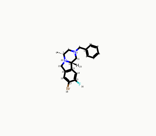 C[C@@H]1CN(Cc2ccccc2)C[C@@H]2c3cc(F)c(Br)cc3CN12